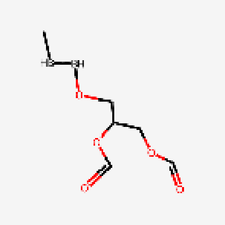 CBBOCC(COC=O)OC=O